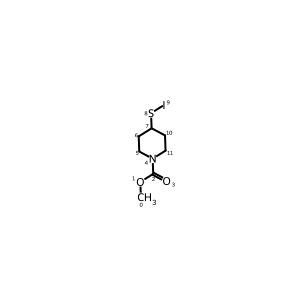 COC(=O)N1CCC(SI)CC1